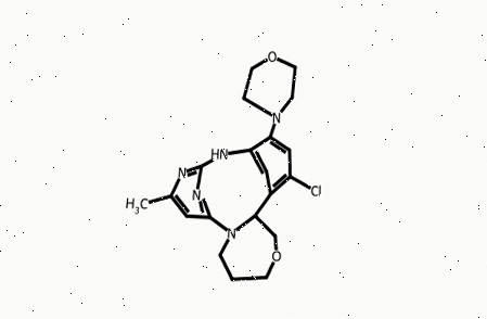 Cc1cc2nc(n1)Nc1cc(c(Cl)cc1N1CCOCC1)C1COCCCN21